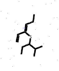 C=C/C(=C/CC)SC(CC)C(C)C